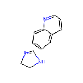 C1=NCCN1.c1ccc2ncccc2c1